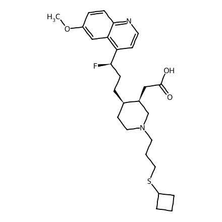 COc1ccc2nccc([C@H](F)CC[C@@H]3CCN(CCCSC4CCC4)C[C@@H]3CC(=O)O)c2c1